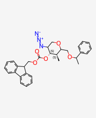 CC(OCC1OCC(N=[N+]=[N-])[C@@H](OC(=O)OCC2c3ccccc3-c3ccccc32)[C@@H]1C)c1ccccc1